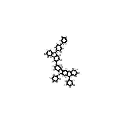 c1ccc(-c2ccc(C3c4ccccc4-c4cc(-c5ccc6c(c5)c5cc7c(cc5n6-c5ccccc5)C(c5ccccc5)c5ccccc5-7)ccc43)cc2)cc1